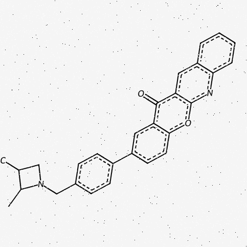 CC1C(C(=O)O)CN1Cc1ccc(-c2ccc3oc4nc5ccccc5cc4c(=O)c3c2)cc1